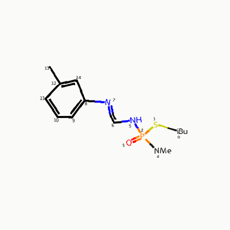 CCC(C)SP(=O)(NC)NC=Nc1cccc(C)c1